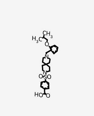 CC(C)COc1ccccc1CN1CCC2(CC1)CCN(S(=O)(=O)c1ccc(C(=O)O)cc1)CC2